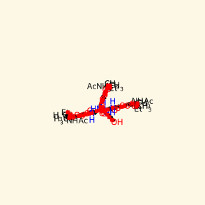 CC[C@H]1O[C@@H](OCCOCCOCCOCC(=O)NCCCC[C@H](NC(=O)COCCOCCOCCO[C@@H]2O[C@H](CC)[C@H](C)[C@H](C)[C@H]2NC(C)=O)C(=O)N[C@@H](CCCCNC(=O)COCCOCCOCCO[C@@H]2O[C@H](CC)[C@H](C)[C@H](C)[C@H]2NC(C)=O)C(=O)NCCCCCCO)[C@H](NC(C)=O)[C@@H](C)[C@H]1C